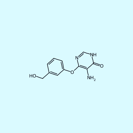 Nc1c(Oc2cccc(CO)c2)nc[nH]c1=O